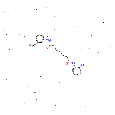 COc1cccc(NC(=O)CCCCCC(=O)Nc2ccccc2N)c1